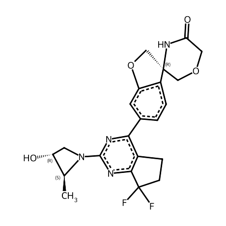 C[C@H]1[C@H](O)CN1c1nc(-c2ccc3c(c2)OC[C@]32COCC(=O)N2)c2c(n1)C(F)(F)CC2